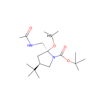 CC(=O)NC[C@@]1(O[SiH](C)C)C[C@H](C(C)(C)C)CN1C(=O)OC(C)(C)C